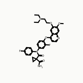 CCN(CC)CCOc1cc2c(Oc3ccc(N(C(=O)C4(C(N)=O)CC4)c4ccc(F)cc4)cc3F)ccnc2cc1OC